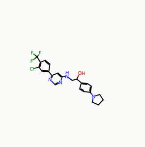 OC(CNc1cc(-c2ccc(C(F)(F)F)c(Cl)c2)ncn1)c1ccc(N2CCCC2)cc1